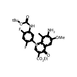 CCOC(=O)c1cn(-c2cc(NC(=O)OC(C)(C)C)c(F)cc2F)c2c(C)c(N)c(OC)cc2c1=O